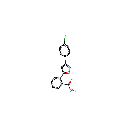 COC(=O)c1ccccc1-c1cc(-c2ccc(Cl)cc2)no1